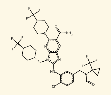 NC(=O)c1cc2nc(Nc3cc(CN(C=O)C4(C(F)(F)F)CC4)ccc3Cl)n(C[C@H]3CC[C@H](C(F)(F)F)CC3)c2nc1N1CCC(C(F)(F)F)CC1